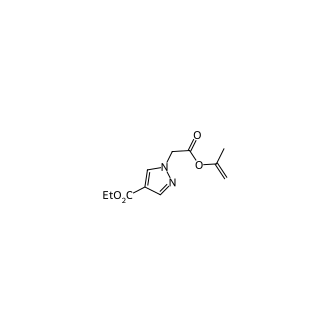 C=C(C)OC(=O)Cn1cc(C(=O)OCC)cn1